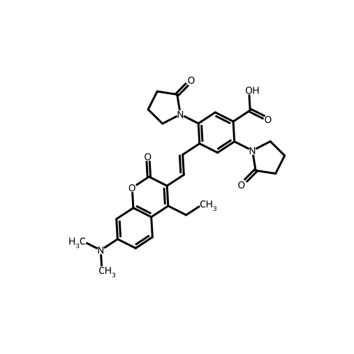 CCc1c(/C=C/c2cc(N3CCCC3=O)c(C(=O)O)cc2N2CCCC2=O)c(=O)oc2cc(N(C)C)ccc12